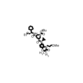 CCOC[C@H](NC(=O)[C@H]1C[C@@H](C(=O)N(c2ccc3c(c2)N(CCCOC)C(=O)C(C)(C)O3)C2CC2)CN(C(=O)OC(C)(C)C)C1)C1CCCCC1